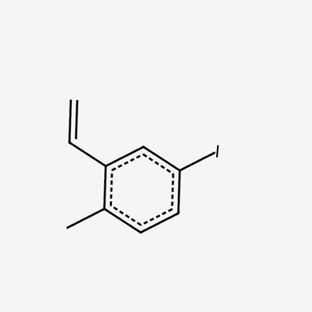 C=Cc1cc(I)ccc1C